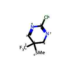 CSC1(C(F)(F)F)C=NC(Cl)=NC1